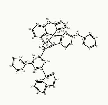 c1ccc(Oc2ccc3c(c2)C2(c4ccccc4Oc4ccccc42)c2ccc(-c4nc(-c5ccccc5)nc(-c5cccc6ccccc56)n4)cc2-3)cc1